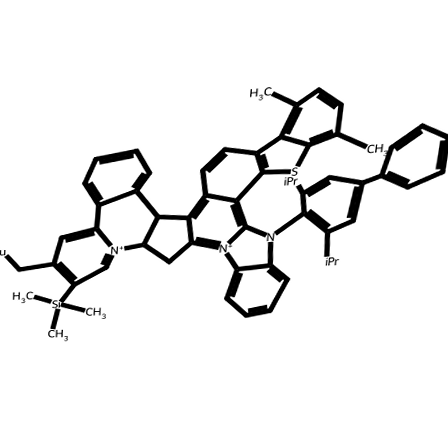 Cc1ccc(C)c2c1sc1c2ccc2c3c([n+]4c5ccccc5n(-c5c(C(C)C)cc(-c6ccccc6)cc5C(C)C)c4c21)CC1C3c2ccccc2-c2cc(CC(C)(C)C)c([Si](C)(C)C)c[n+]21